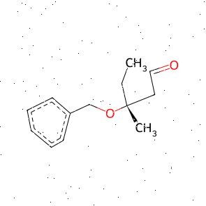 CC[C@](C)(CC=O)OCc1ccccc1